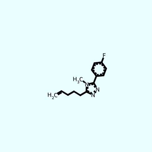 C=CCCCc1nnc(-c2ccc(F)cc2)n1C